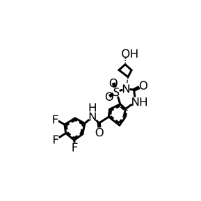 O=C(Nc1cc(F)c(F)c(F)c1)c1ccc2c(c1)S(=O)(=O)N([C@H]1C[C@@H](O)C1)C(=O)N2